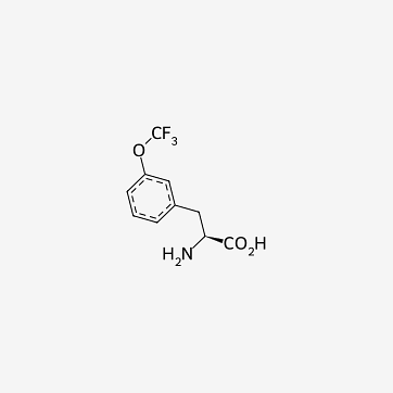 N[C@@H](Cc1cccc(OC(F)(F)F)c1)C(=O)O